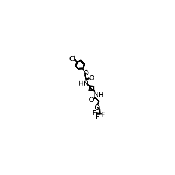 O=C(COCC(F)(F)F)NC12CC(NC(=O)COc3ccc(Cl)cc3)(C1)C2